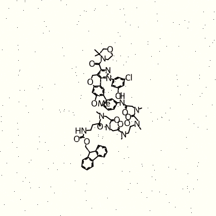 COc1cc2c(cc1-c1cccc(NC(=O)CN(C)C(=O)CN(C)C(=O)CN(C)C(=O)CN(C)C(=O)CN(C)C(=O)CCNC(=O)OCC3c4ccccc4-c4ccccc43)c1)-c1c(c(C(=O)N3CCOCC3(C)C)nn1-c1cc(Cl)cc(Cl)c1)CO2